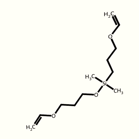 C=COCCCO[Si](C)(C)CCCOC=C